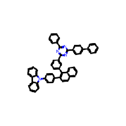 c1ccc(-c2ccc(-c3nc(-c4ccccc4)nc(-c4cccc(-c5c(-c6ccc(-n7c8ccccc8c8ccccc87)cc6)ccc6ccccc56)c4)n3)cc2)cc1